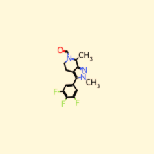 C[C@H]1c2nn(C)c(-c3cc(F)c(F)c(F)c3)c2CCN1C=O